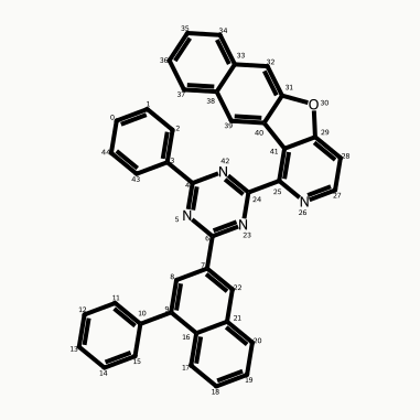 c1ccc(-c2nc(-c3cc(-c4ccccc4)c4ccccc4c3)nc(-c3nccc4oc5cc6ccccc6cc5c34)n2)cc1